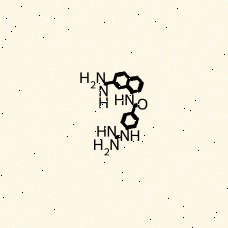 N=C(N)Nc1ccc(C(=O)Nc2cccc3ccc(C(=N)N)cc23)cc1